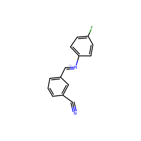 N#Cc1cccc(/C=N/c2ccc(F)cc2)c1